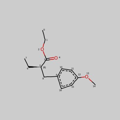 CCOC(=O)[C@H](CC)Cc1ccc(OC)cc1